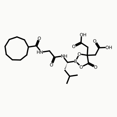 CC(C)C[C@H](NC(=O)CNC(=O)C1CCCCCCCC1)B1OC(=O)C(CC(=O)O)(CC(=O)O)O1